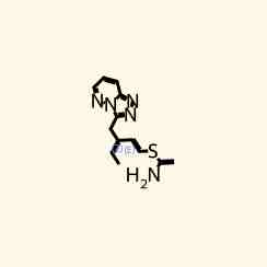 C=C(N)S/C=C/C(=C\C)Cc1nnc2cccnn12